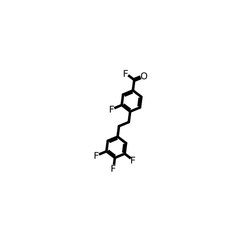 O=C(F)c1ccc(CCc2cc(F)c(F)c(F)c2)c(F)c1